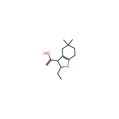 C=C(O)C1C2=C(CCC(C)(C)C2)SC1CC